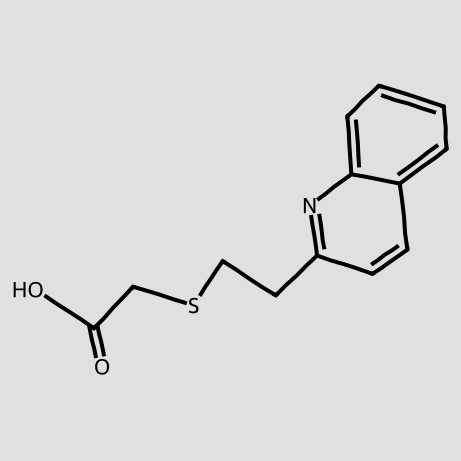 O=C(O)CSCCc1ccc2ccccc2n1